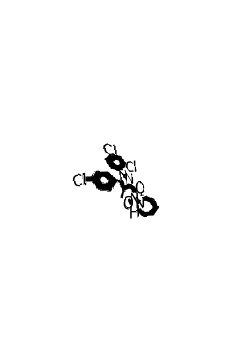 C[C@@H]1C(C(=O)[NH+]([O-])N2CCCCCC2)=NN(c2ccc(Cl)cc2Cl)[C@@H]1c1ccc(Cl)cc1